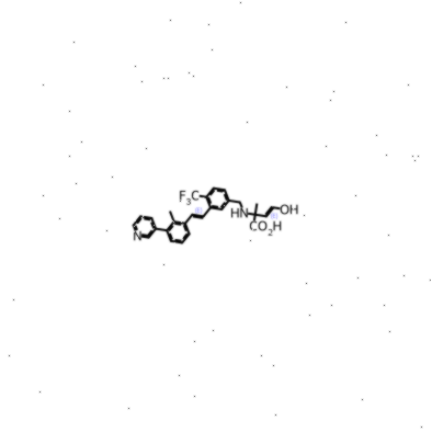 Cc1c(/C=C/c2cc(CNC(C)(/C=C/O)C(=O)O)ccc2C(F)(F)F)cccc1-c1cccnc1